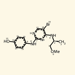 COC[C@H](C)Nc1nc(Nc2ccc(O)cc2)ncc1Br